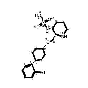 CCc1ccccc1[C@H]1CC[C@@H](OC[C@@H]2NCCC[C@@H]2NS(C)(=O)=O)CC1